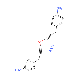 N#N.Nc1ccc(CC#COC#CCc2ccc(N)cc2)cc1